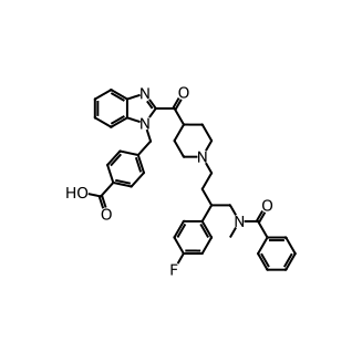 CN(CC(CCN1CCC(C(=O)c2nc3ccccc3n2Cc2ccc(C(=O)O)cc2)CC1)c1ccc(F)cc1)C(=O)c1ccccc1